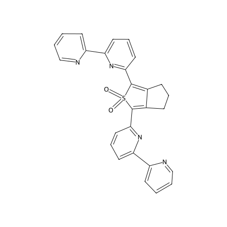 O=S1(=O)C(c2cccc(-c3ccccn3)n2)=C2CCCC2=C1c1cccc(-c2ccccn2)n1